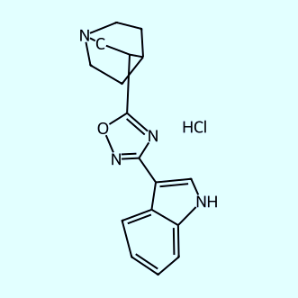 Cl.c1ccc2c(-c3noc(C4CN5CCC4CC5)n3)c[nH]c2c1